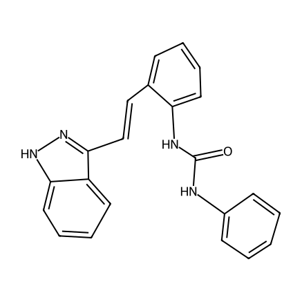 O=C(Nc1ccccc1)Nc1ccccc1C=Cc1n[nH]c2ccccc12